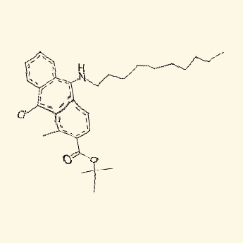 CCCCCCCCCCNc1c2ccccc2c(Cl)c2c(C)c(C(=O)OC(C)(C)C)ccc12